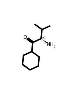 CC(C)[C@H](N)C(=O)[C]1CCCCC1